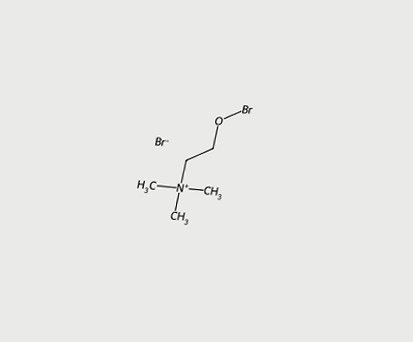 C[N+](C)(C)CCOBr.[Br-]